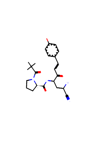 CC(C)(C)C(=O)N1CCC[C@@H]1C(=O)NC(CC(N)C#N)C(=O)/C=C/c1ccc(O)cc1